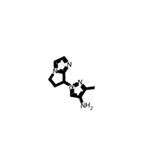 Cc1nn(C2CCn3ccnc32)cc1N